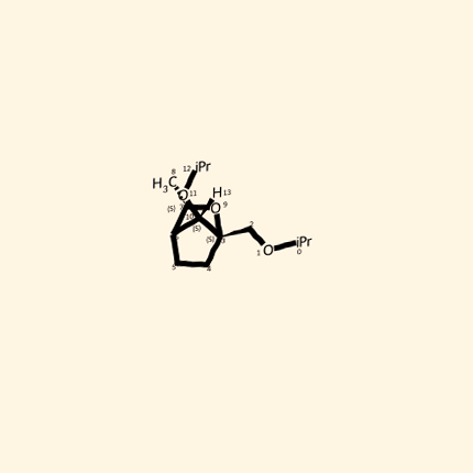 CC(C)OC[C@]12CCC([C@H](C)O1)[C@@H]2OC(C)C